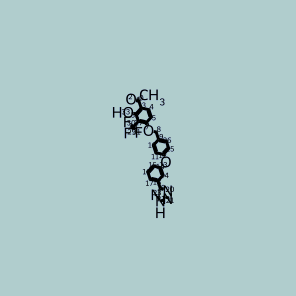 CC(=O)c1ccc(OCc2ccc(Oc3cccc(-c4nn[nH]n4)c3)cc2)c(C(F)(F)F)c1O